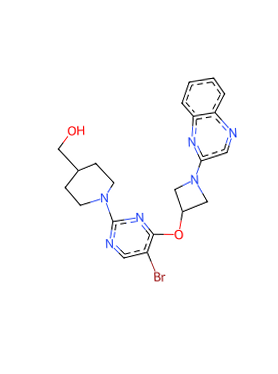 OCC1CCN(c2ncc(Br)c(OC3CN(c4cnc5ccccc5n4)C3)n2)CC1